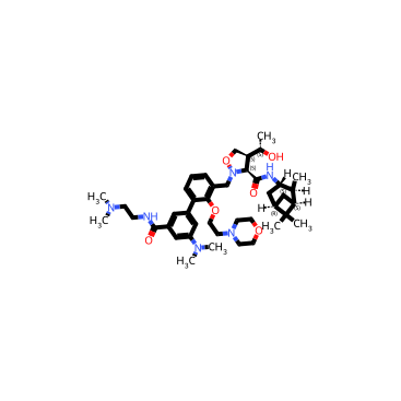 C[C@@H]1[C@@H](NC(=O)[C@@H]2[C@H]([C@H](C)O)CON2Cc2cccc(-c3cc(C(=O)NCCN(C)C)cc(N(C)C)c3)c2OCCN2CCOCC2)C[C@H]2C[C@@H]1C2(C)C